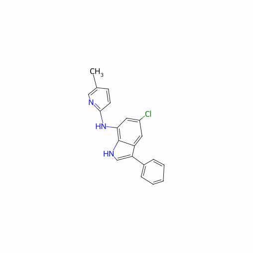 Cc1ccc(Nc2cc(Cl)cc3c(-c4ccccc4)c[nH]c23)nc1